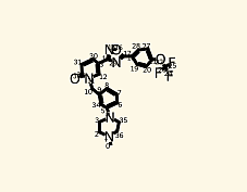 CN1CCN(c2cccc(Cn3cc(-c4noc(-c5ccc(OC(F)(F)F)cc5)n4)ccc3=O)c2)CC1